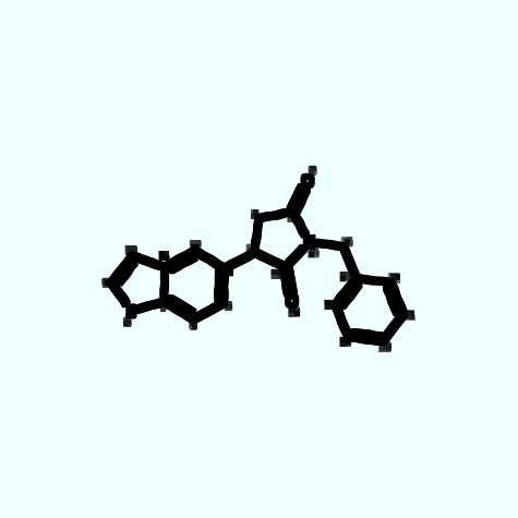 O=C1CC(c2ccc3sccc3c2)C(=O)N1Cc1ccccc1